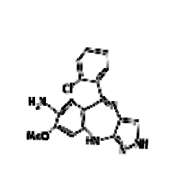 COc1cc2c(cc1N)C(c1ccccc1Cl)=Nc1c[nH]nc1N2